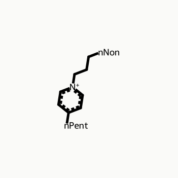 CCCCCCCCCCCC[n+]1ccc(CCCCC)cc1